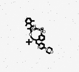 Cc1cccc(C)c1-c1nc2nc(c1C)OC[C@@H](CC(C)(C)C)C(Cc1ccc(N3CCOCC3)cn1)c1cccc(c1)S(=O)(=O)N2